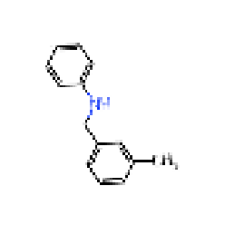 Cc1cccc(CNc2cc[c]cc2)c1